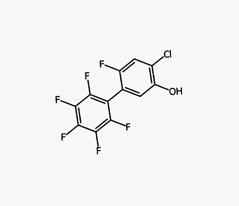 Oc1cc(-c2c(F)c(F)c(F)c(F)c2F)c(F)cc1Cl